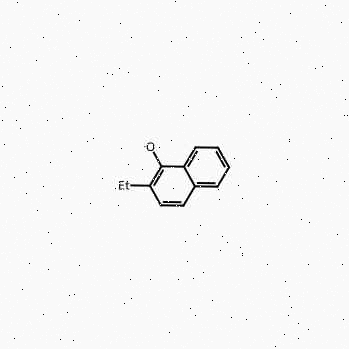 CCc1ccc2ccccc2c1[O]